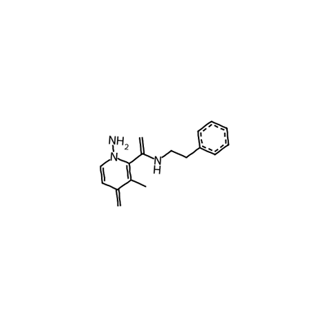 C=C1C=CN(N)C(C(=C)NCCc2ccccc2)=C1C